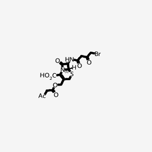 CC(=O)CC(=O)OCC1=C(C(=O)O)N2C(=O)[C@@H](NC(=O)CC(=O)CBr)[C@@H]2SC1